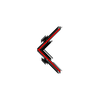 Cl.Cl.Cl.Cl.Cl.Cl.Cl.Cl.Cl.Cl.Cl.Cl.Cl.Cl.Cl.[Cl-].[Cl-].[Cl-].[Cl-].[Cl-].[Cl-].[Cl-].[Cl-].[Cl-].[Cl-].[Cl-].[Cl-].[Cl-].[Cl-].[Cl-].[Cl-].[Cl-].[Cl-].[Cl-].[Cl-].[Cl-].[Cl-].[Cl-].[Cl-].[Cl-].[Cl-].[Cl-].[Cl-].[Cl-].[Cl-].[Na+].[Na+].[Na+].[Na+].[Na+].[Na+].[Na+].[Na+].[Na+].[Na+].[Na+].[Na+].[Na+].[Na+].[Na+].[Na+].[Na+].[Na+].[Na+].[Na+].[Na+].[Na+].[Na+].[Na+].[Na+].[Na+].[Na+].[Na+].[Na+].[Na+]